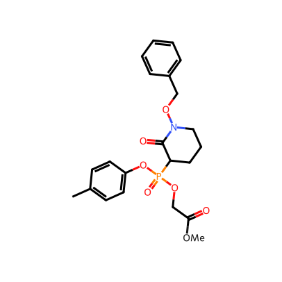 COC(=O)COP(=O)(Oc1ccc(C)cc1)C1CCCN(OCc2ccccc2)C1=O